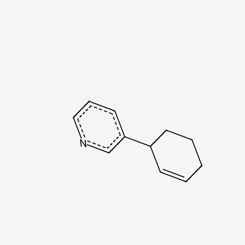 C1=CC(c2cccnc2)CCC1